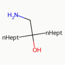 CCCCCCCC(O)(CN)CCCCCCC